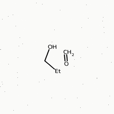 C=O.CCCO